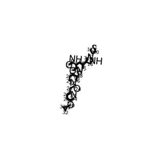 NC(=O)c1cc(C2=CN(C3CSC3)NC2)cnc1O[C@H]1CCN(C(=O)Cc2ccc(OC3CC3)cn2)C[C@H]1F